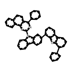 c1ccc(-c2nc(-n3c4ccccc4c4ccc(-c5cccc6c5oc5c(-c7ccccc7)cccc56)cc43)nc3c2ccc2ccccc23)cc1